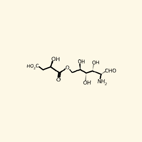 N[C@@H](C=O)[C@@H](O)[C@H](O)[C@H](O)COC(=O)C(O)CC(=O)O